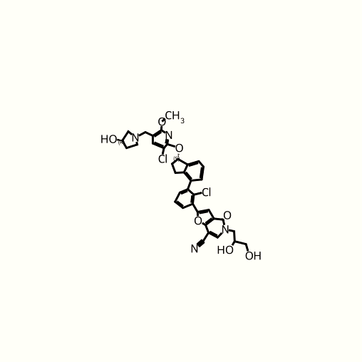 COc1nc(O[C@H]2CCc3c(-c4cccc(-c5cc6c(=O)n(CC(O)CO)cc(C#N)c6o5)c4Cl)cccc32)c(Cl)cc1CN1CC[C@@H](O)C1